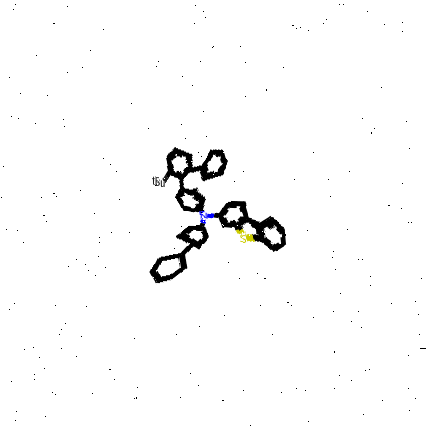 CC(C)(C)c1cccc(-c2ccccc2)c1-c1ccc(N(c2ccc(C3CCCCC3)cc2)c2ccc3c(c2)sc2ccccc23)cc1